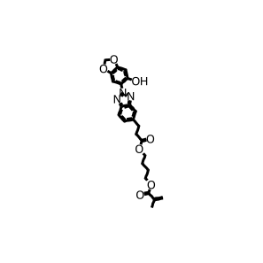 C=C(C)C(=O)OCCCCOC(=O)CCc1ccc2nn(-c3cc4c(cc3O)OCO4)nc2c1